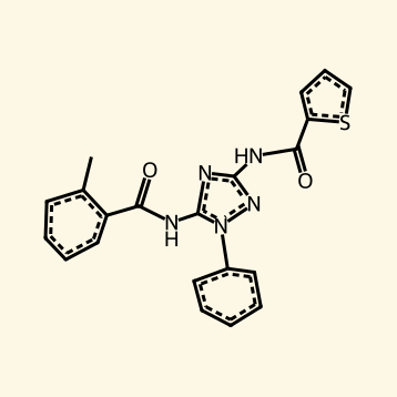 Cc1ccccc1C(=O)Nc1nc(NC(=O)c2cccs2)nn1-c1ccccc1